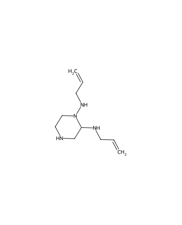 C=CCNC1CNCCN1NCC=C